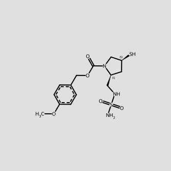 COc1ccc(COC(=O)N2C[C@@H](S)C[C@H]2CNS(N)(=O)=O)cc1